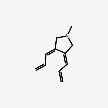 C=C/C=C1/CN(C)C/C1=C/C=C